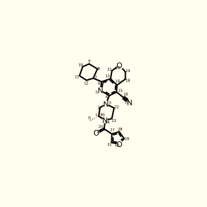 C[C@@H]1CN(c2nc(C3CCCCC3)c3c(c2C#N)CCOC3)CCN1C(=O)c1ccoc1